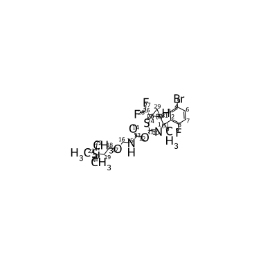 C[C@]1(c2cc(Br)ccc2F)N=C(OC(=O)NCOCC[Si](C)(C)C)S[C@@]2(C(F)F)C[C@@H]12